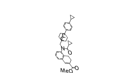 COC(=O)C1=Cc2cccc(N(CC34CCC(c5ccc(C6CC6)cc5)(CC3)CC4)C(=O)C3CC3)c2CC1